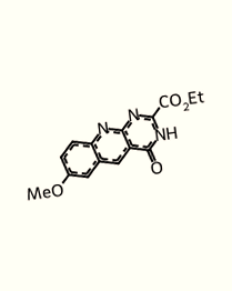 CCOC(=O)c1nc2nc3ccc(OC)cc3cc2c(=O)[nH]1